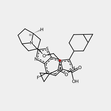 O=C(O)c1cc(F)c2nc(N3C4CC[C@H]3CC(OCc3c(C5CCC6CC6C5)noc3C3CC3)C4)sc2c1